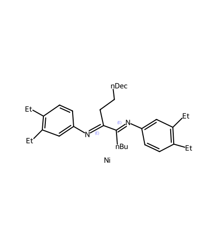 CCCCCCCCCCCCC(=N\c1ccc(CC)c(CC)c1)/C(CCCC)=N/c1ccc(CC)c(CC)c1.[Ni]